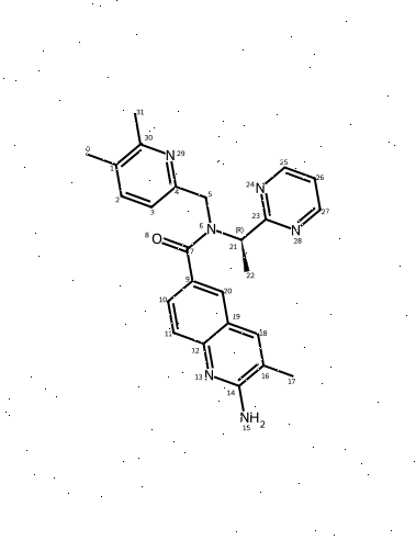 Cc1ccc(CN(C(=O)c2ccc3nc(N)c(C)cc3c2)[C@H](C)c2ncccn2)nc1C